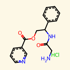 Cl.NCC(=O)NC(COC(=O)c1cccnc1)c1ccccc1